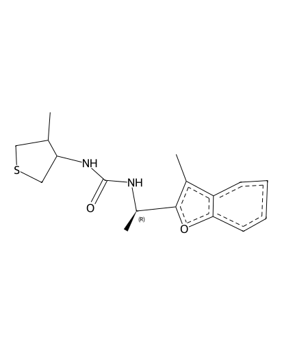 Cc1c([C@@H](C)NC(=O)NC2CSCC2C)oc2ccccc12